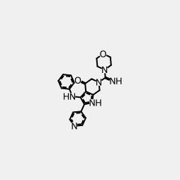 N=C(N1CCOCC1)N1CC(=O)c2c([nH]c(-c3ccncc3)c2Nc2ccccc2)C1